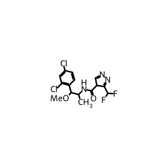 COC(c1ccc(Cl)cc1Cl)C(C)NC(=O)C1C=NN=C1C(F)F